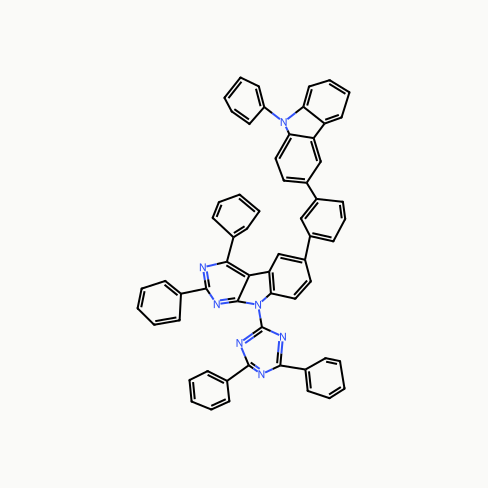 c1ccc(-c2nc(-c3ccccc3)nc(-n3c4ccc(-c5cccc(-c6ccc7c(c6)c6ccccc6n7-c6ccccc6)c5)cc4c4c(-c5ccccc5)nc(-c5ccccc5)nc43)n2)cc1